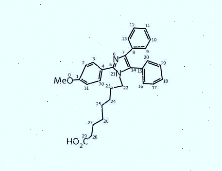 COc1ccc(-c2nc(-c3ccccc3)c(-c3ccccc3)n2CCCCCCCC(=O)O)cc1